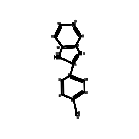 Clc1ccc(-c2nc3cnccc3[nH]2)cc1